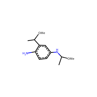 COC(C)Nc1ccc(N)c(C(C)OC)c1